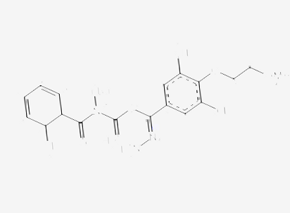 C=C(S/C(=N\N)c1cc(C)c(OCCOC)c(C)c1)N(CCCC)C(=O)C1C=CC=CC1Cl